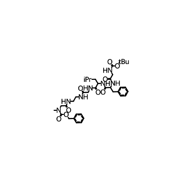 CC(C)CC(NC(=O)C(Cc1ccccc1)NC(=O)CNC(=O)OC(C)(C)C)C(=O)NCC(=O)NCCNC(=O)CN(C)C(=O)OCc1ccccc1